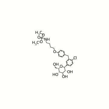 COP(=O)(NCCCCOc1ccc(Cc2cc([C@@H]3O[C@H](CO)[C@@H](O)[C@H](O)[C@H]3O)ccc2Cl)cc1)OC